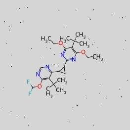 CCOc1nc(C2CC2c2ncnc(OC(F)F)c2C(C)(C)C)nc(OCC)c1C(C)(C)C